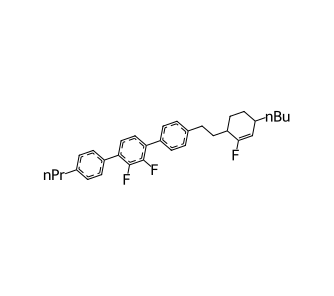 CCCCC1C=C(F)C(CCc2ccc(-c3ccc(-c4ccc(CCC)cc4)c(F)c3F)cc2)CC1